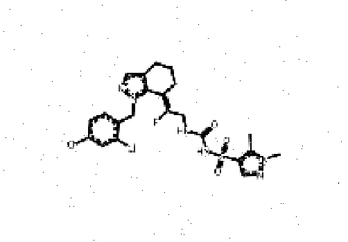 Cc1c(S(=O)(=O)NC(=O)NCC(F)=C2CCCc3cnn(Cc4ccc(Cl)cc4Cl)c32)cnn1C